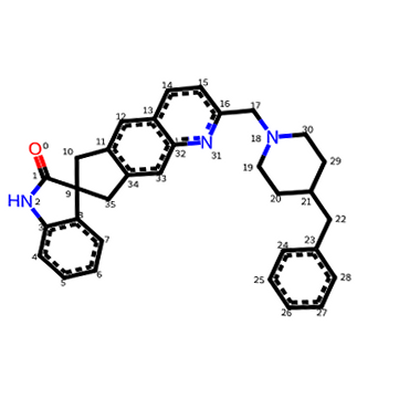 O=C1Nc2ccccc2C12Cc1cc3ccc(CN4CCC(Cc5ccccc5)CC4)nc3cc1C2